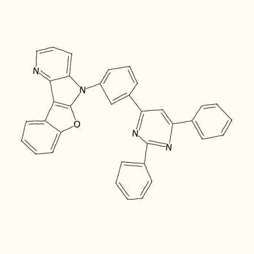 c1ccc(-c2cc(-c3cccc(-n4c5cccnc5c5c6ccccc6oc54)c3)nc(-c3ccccc3)n2)cc1